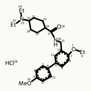 CCOc1ccc(-c2ccc(OC)cc2)cc1CNC(=O)C1CCC(N(CC)CC)CC1.Cl